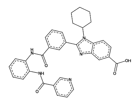 O=C(O)c1ccc2c(c1)nc(-c1cccc(C(=O)Nc3ccccc3NC(=O)c3cccnc3)c1)n2C1CCCCC1